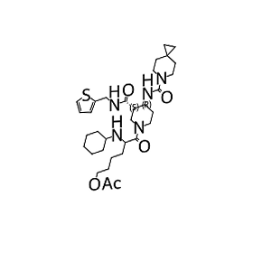 CC(=O)OCCCCC(NC1CCCCC1)C(=O)N1CC[C@@H](NC(=O)N2CCC3(CC2)CC3)[C@@H](C(=O)NCc2cccs2)C1